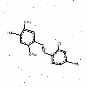 COc1cc(/N=N/c2ccc(N)cc2C#N)c(OC)cc1N